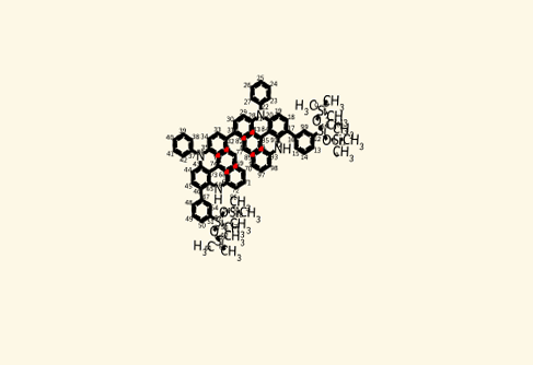 C[Si](C)(C)O[Si](C)(O[Si](C)(C)C)c1cccc(-c2ccc(N(c3ccccc3)c3ccc(-c4ccc(N(c5ccccc5)c5ccc(-c6cccc([Si](C)(O[Si](C)(C)C)O[Si](C)(C)C)c6)c(Nc6ccccc6)c5-c5ccccc5)cc4)cc3)c(-c3ccccc3)c2Nc2ccccc2)c1